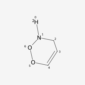 [2H]N1CC=COO1